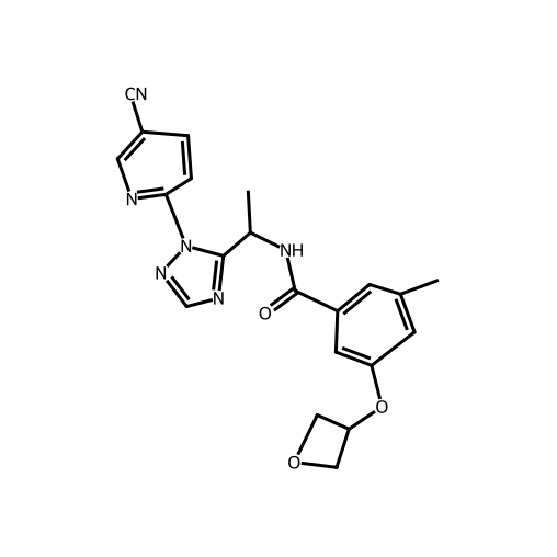 Cc1cc(OC2COC2)cc(C(=O)NC(C)c2ncnn2-c2ccc(C#N)cn2)c1